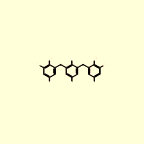 Cc1cc(N)c(O)c(Cc2cc(C)cc(Cc3cc(C)cc(N)c3O)c2O)c1